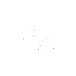 O=C[C@@H](O)c1ccccc1Cl